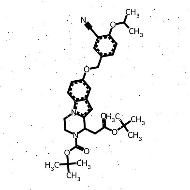 CC(C)Oc1ccc(COc2ccc3c(c2)cc2n3CCN(C(=O)OC(C)(C)C)C2CC(=O)OC(C)(C)C)cc1C#N